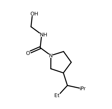 CCC(C(C)C)C1CCN(C(=O)NCO)C1